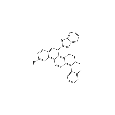 Cc1ccccc1C1=c2ccc3c(c2CCC1C)C(c1cc2ccccc2s1)C=c1ccc(F)cc1=3